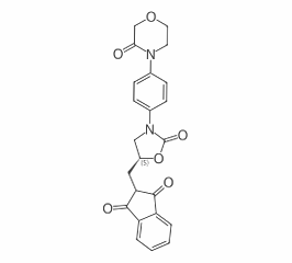 O=C1c2ccccc2C(=O)C1C[C@H]1CN(c2ccc(N3CCOCC3=O)cc2)C(=O)O1